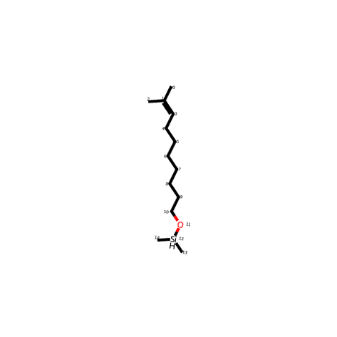 CC(C)=CCCCCCCCO[SiH](C)C